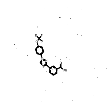 O=C(O)c1cccc(-c2ncn(-c3ccc(OC(F)(F)F)cc3)n2)c1